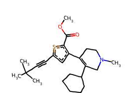 COC(=O)c1sc(C#CC(C)(C)C)cc1C1=C(C2CCCCC2)CN(C)CC1